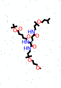 COCCCOC(C)(C)CCNC(=O)[C@H](CCC(=O)NCCC(C)(C)OCCC(C)C)NC(=O)CCCC(=O)OC(C)(C)C